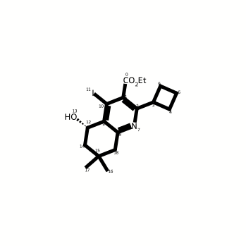 CCOC(=O)c1c(C2CCC2)nc2c(c1I)[C@@H](O)CC(C)(C)C2